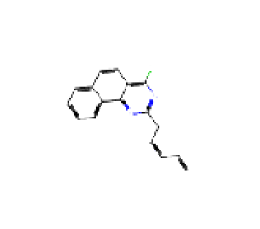 C=C/C=C\Cc1nc(Cl)c2ccc3ccccc3c2n1